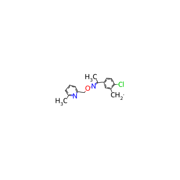 [CH2]c1cc(C(C)=NOCc2cccc(C)n2)ccc1Cl